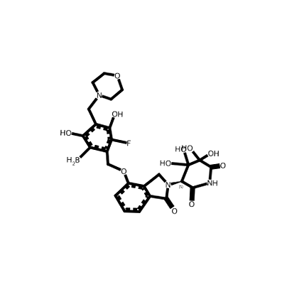 Bc1c(O)c(CN2CCOCC2)c(O)c(F)c1COc1cccc2c1CN([C@@H]1C(=O)NC(=O)C(O)(O)C1(O)O)C2=O